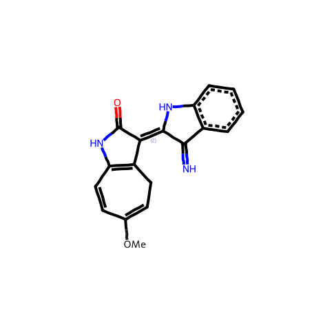 COC1=CCC2=C(C=C1)NC(=O)/C2=C1\Nc2ccccc2C1=N